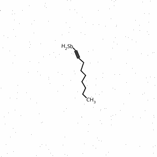 CCCCCCCC#[C][SbH2]